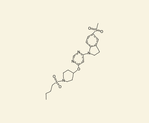 CCCCS(=O)(=O)N1CCC(Oc2cc(N3CCc4cc(S(C)(=O)=O)ccc43)ncn2)CC1